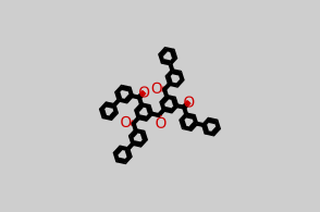 O=C(C1=CC(c2ccccc2)=CCC1)c1cc(C(=O)c2cc(C(=O)c3cccc(-c4ccccc4)c3)cc(C(=O)c3cccc(-c4ccccc4)c3)c2)cc(C(=O)c2cccc(-c3ccccc3)c2)c1